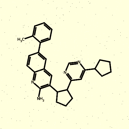 Cc1ccccc1-c1ccc2nc(N)c(C3CCCC3c3cc(C4CCCC4)ncn3)cc2c1